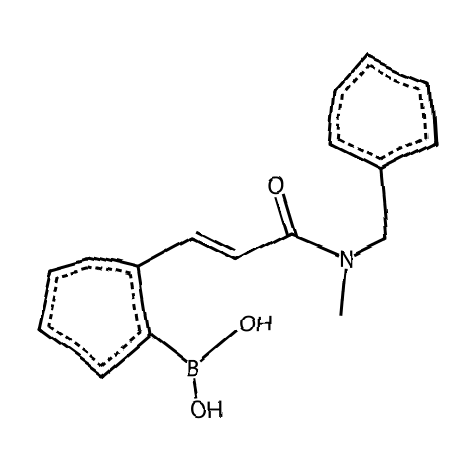 CN(Cc1ccccc1)C(=O)/C=C/c1ccccc1B(O)O